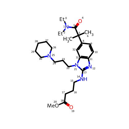 CCN(CC)C(=O)C(C)(C)c1ccc2nc(NCCCC(=O)OC)n(CCCN3CCCCC3)c2c1